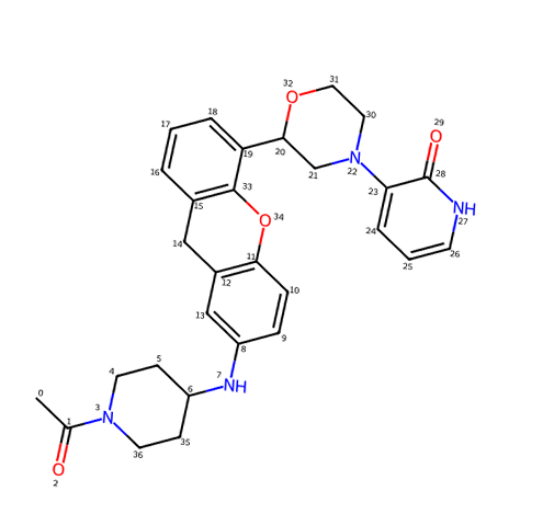 CC(=O)N1CCC(Nc2ccc3c(c2)Cc2cccc(C4CN(c5ccc[nH]c5=O)CCO4)c2O3)CC1